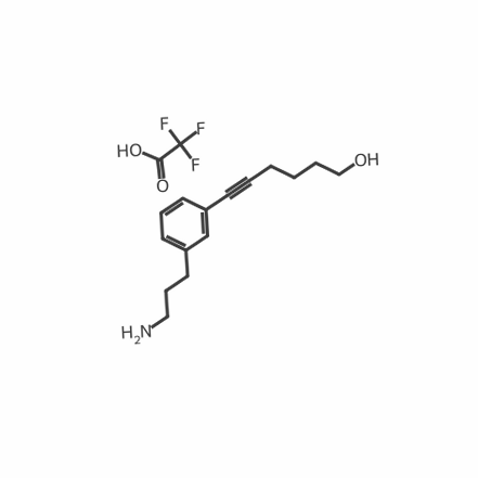 NCCCc1cccc(C#CCCCCO)c1.O=C(O)C(F)(F)F